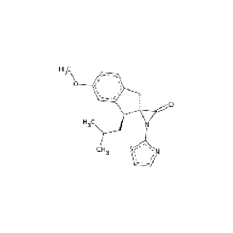 COc1ccc2c(c1)[C@H](CC(C)C)[C@@]1(C2)C(=O)N1c1nccs1